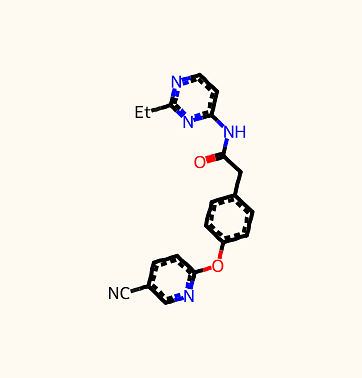 CCc1nccc(NC(=O)Cc2ccc(Oc3ccc(C#N)cn3)cc2)n1